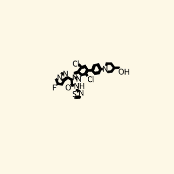 O=C(Nc1nccs1)[C@@H](c1ncn2c1C[C@@H](F)C2)n1cc2c(Cl)cc(-c3ccc(N4CCC(CO)CC4)cc3)c(Cl)c2n1